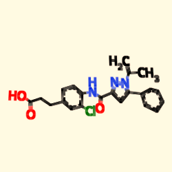 C=C(C)n1nc(C(=O)Nc2ccc(CCC(=O)O)cc2Cl)cc1-c1ccccc1